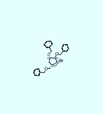 Br[C@H]1O[C@H](COCc2ccccc2)C[C@H](OCc2ccccc2)[C@H]1OCc1ccccc1